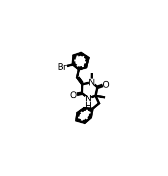 CN1C(=O)C(C)(Cc2ccccc2)NC(=O)C1=Cc1ccccc1Br